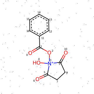 O=C(O[N+]1(O)C(=O)CCC1=O)c1ccccc1